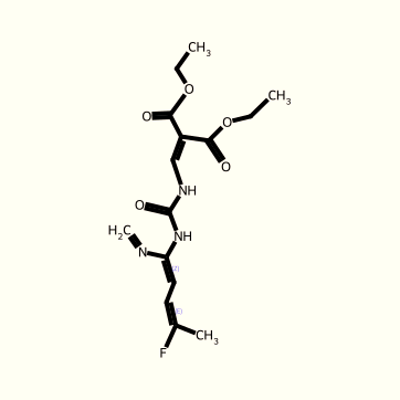 C=N/C(=C\C=C(/C)F)NC(=O)NC=C(C(=O)OCC)C(=O)OCC